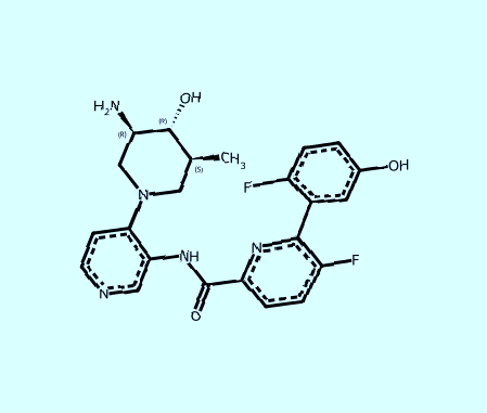 C[C@H]1CN(c2ccncc2NC(=O)c2ccc(F)c(-c3cc(O)ccc3F)n2)C[C@@H](N)[C@@H]1O